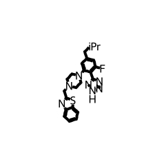 CC(C)Cc1cc(F)c(-c2nn[nH]n2)c(N2CCN(Cc3nc4ccccc4s3)CC2)c1